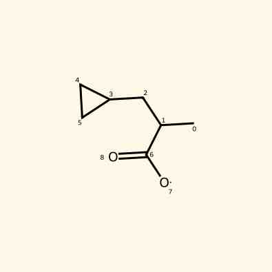 CC(CC1CC1)C([O])=O